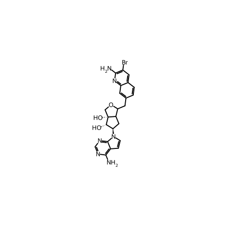 Nc1nc2cc(CC3OC[C@@]4(O)C3C[C@@H](n3ccc5c(N)ncnc53)[C@@H]4O)ccc2cc1Br